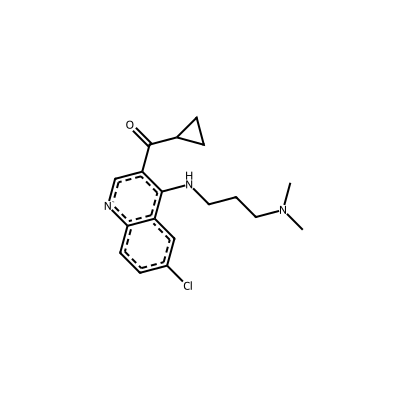 CN(C)CCCNc1c(C(=O)C2CC2)cnc2ccc(Cl)cc12